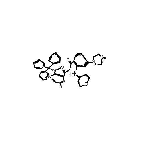 CN1CCN(c2ccc(C(=O)Nc3nn(C(c4ccccc4)(c4ccccc4)c4ccccc4)c4ncc(I)cc34)c(NC3CCOCC3)c2)CC1